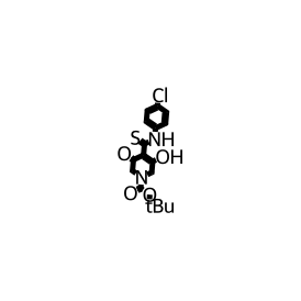 CC(C)(C)OC(=O)N1CC(=O)C(C(=S)Nc2ccc(Cl)cc2)=C(O)C1